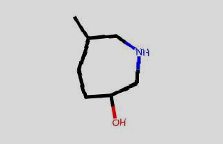 CC1CCC(O)CNC1